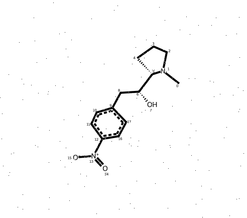 CN1CCC[C@H]1[C@H](O)Cc1ccc([N+](=O)[O-])cc1